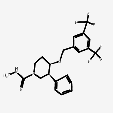 CNC(=S)N1CC[C@@H](OCc2cc(C(F)(F)F)cc(C(F)(F)F)c2)[C@@H](c2ccccc2)C1